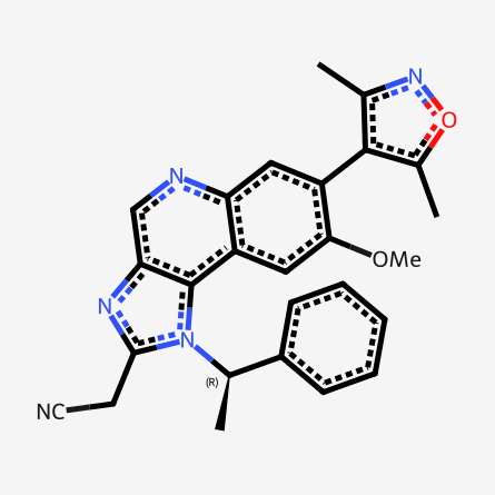 COc1cc2c(cc1-c1c(C)noc1C)ncc1nc(CC#N)n([C@H](C)c3ccccc3)c12